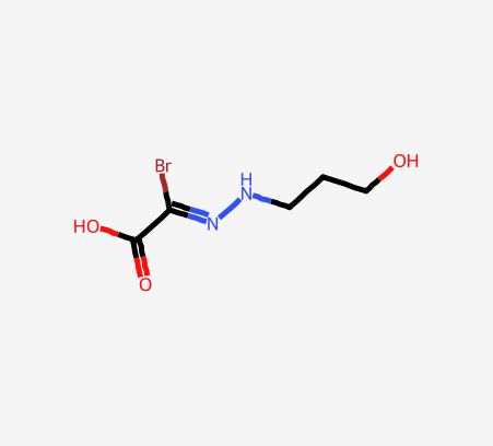 O=C(O)C(Br)=NNCCCO